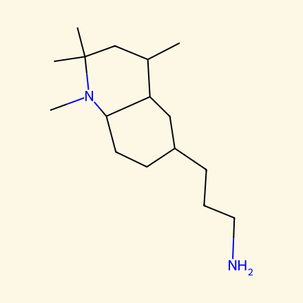 CC1CC(C)(C)N(C)C2CCC(CCCN)CC12